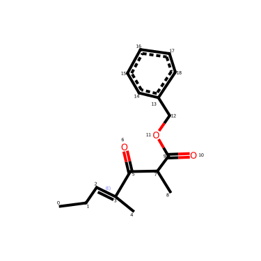 CC/C=C(\C)C(=O)C(C)C(=O)OCc1ccccc1